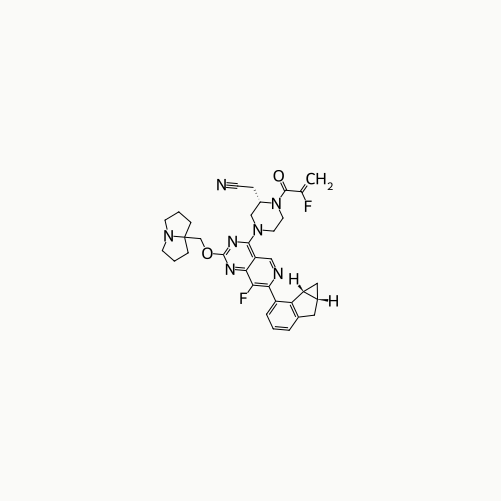 C=C(F)C(=O)N1CCN(c2nc(OCC34CCCN3CCC4)nc3c(F)c(-c4cccc5c4[C@@H]4C[C@@H]4C5)ncc23)C[C@@H]1CC#N